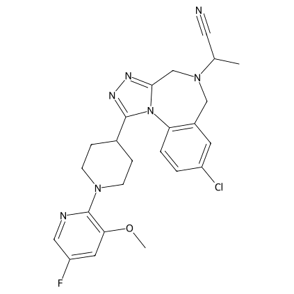 COc1cc(F)cnc1N1CCC(c2nnc3n2-c2ccc(Cl)cc2CN(C(C)C#N)C3)CC1